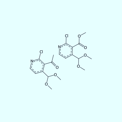 COC(=O)c1c(C(OC)OC)ccnc1Cl.COC(OC)c1ccnc(Cl)c1C(C)=O